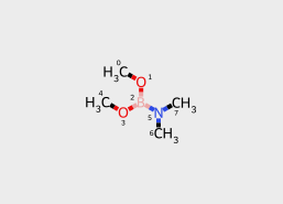 COB(OC)N(C)C